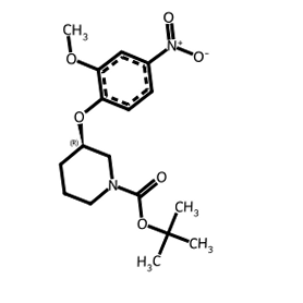 COc1cc([N+](=O)[O-])ccc1O[C@@H]1CCCN(C(=O)OC(C)(C)C)C1